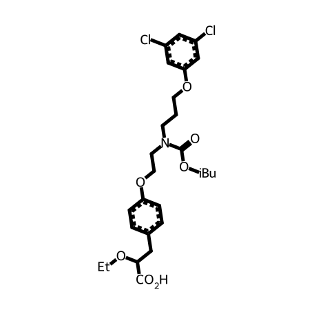 CCOC(Cc1ccc(OCCN(CCCOc2cc(Cl)cc(Cl)c2)C(=O)OC(C)CC)cc1)C(=O)O